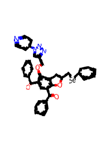 O=C(c1ccccc1)c1cc(C(=O)c2ccccc2)c2c(c1OCc1cn(-c3ccncc3)nn1)CC(C[Se]c1ccccc1)O2